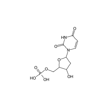 O=c1ccn(C2CC(O)C(COP(=O)(O)O)O2)c(=O)[nH]1